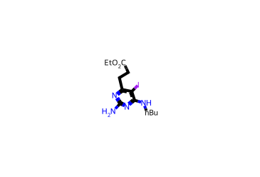 CCCCNc1nc(N)nc(CCC(=O)OCC)c1I